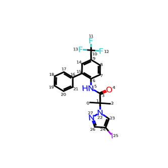 CC(C)(C(=O)Nc1ccc(C(F)(F)F)cc1-c1ccccc1)n1cc(I)cn1